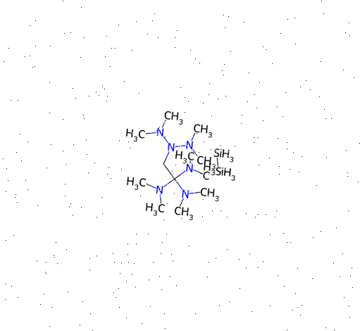 CN(C)N(CC(N(C)C)(N(C)C)N(C)C)N(C)C.[SiH3][SiH3]